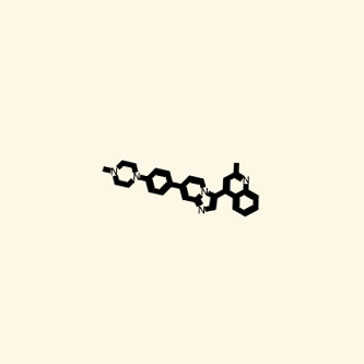 Cc1cc(-c2cnc3cc(-c4ccc(N5CCN(C)CC5)cc4)ccn23)c2ccccc2n1